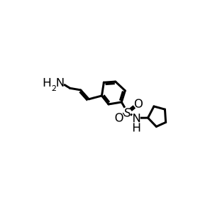 NCC=Cc1cccc(S(=O)(=O)NC2CCCC2)c1